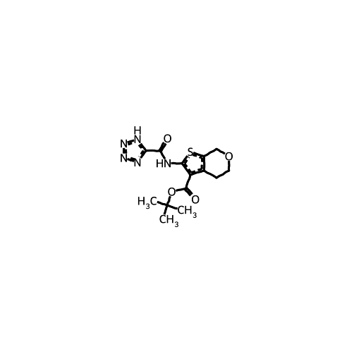 CC(C)(C)OC(=O)c1c(NC(=O)c2nnn[nH]2)sc2c1CCOC2